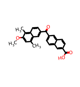 COc1cc(C)c2cc(C(=O)c3ccc4cc(C(=O)O)ccc4c3)ccc2c1C